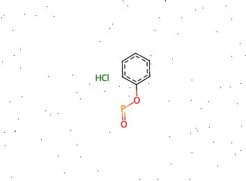 Cl.O=POc1ccccc1